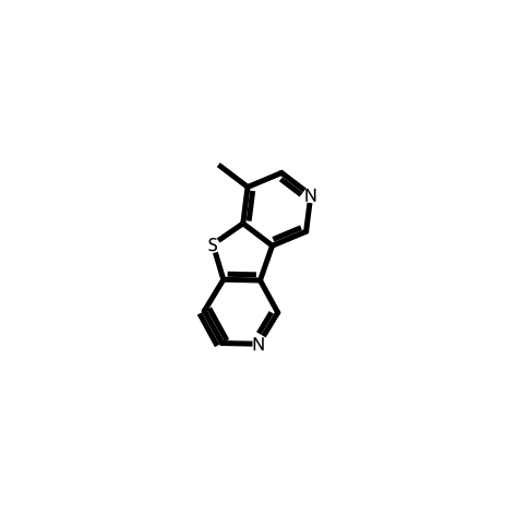 Cc1cncc2c1sc1c#cncc12